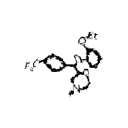 CCOc1ccccc1OC(c1ccc(C(F)(F)F)cc1)C1CN(C)CCO1